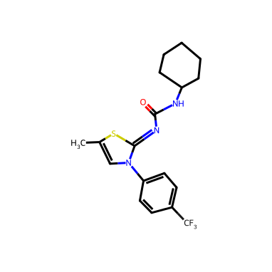 Cc1cn(-c2ccc(C(F)(F)F)cc2)c(=NC(=O)NC2CCCCC2)s1